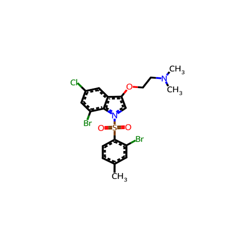 Cc1ccc(S(=O)(=O)n2cc(OCCN(C)C)c3cc(Cl)cc(Br)c32)c(Br)c1